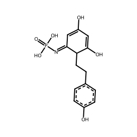 O=P(O)(O)/N=C1\C=C(O)C=C(O)C1CCc1ccc(O)cc1